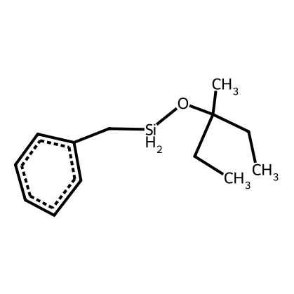 CCC(C)(CC)O[SiH2]Cc1ccccc1